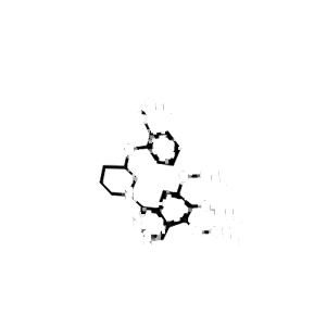 COc1ccccc1OC1CCCN(c2nncc3c(OC)c(OC)c(OC)cc23)C1